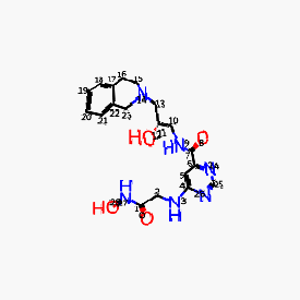 O=C(CNc1cc(C(=O)NC[C@H](O)CN2CCc3ccccc3C2)ncn1)NO